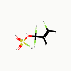 C/C(F)=C(\C)C(F)(F)OS(=O)(=O)F